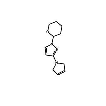 C1=CCN(c2ccn(C3CCCCO3)n2)C1